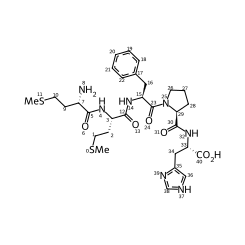 CSCC[C@H](NC(=O)[C@@H](N)CCSC)C(=O)N[C@@H](Cc1ccccc1)C(=O)N1CCC[C@H]1C(=O)N[C@@H](Cc1c[nH]cn1)C(=O)O